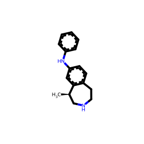 C[C@@H]1CNCCc2ccc(Nc3ccccc3)cc21